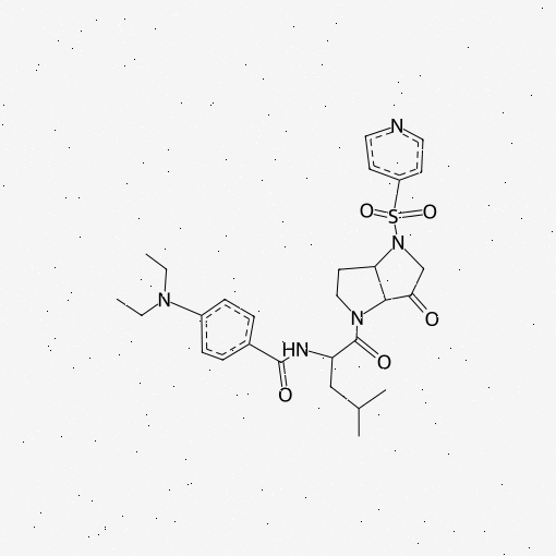 CCN(CC)c1ccc(C(=O)NC(CC(C)C)C(=O)N2CCC3C2C(=O)CN3S(=O)(=O)c2ccncc2)cc1